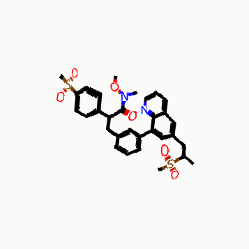 CON(C)C(=O)C(Cc1cccc(-c2cc(CC(C)S(C)(=O)=O)cc3cccnc23)c1)c1ccc(S(C)(=O)=O)cc1